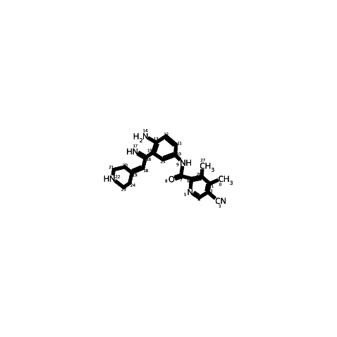 Cc1c(C#N)cnc(C(=O)Nc2ccc(N)c(C(=N)C=C3CCNCC3)c2)c1C